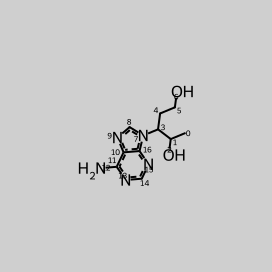 CC(O)C(CCO)n1cnc2c(N)ncnc21